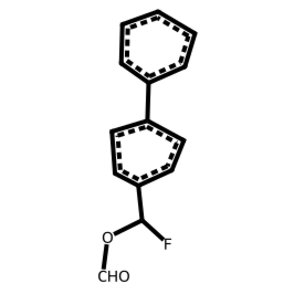 O=COC(F)c1ccc(-c2ccccc2)cc1